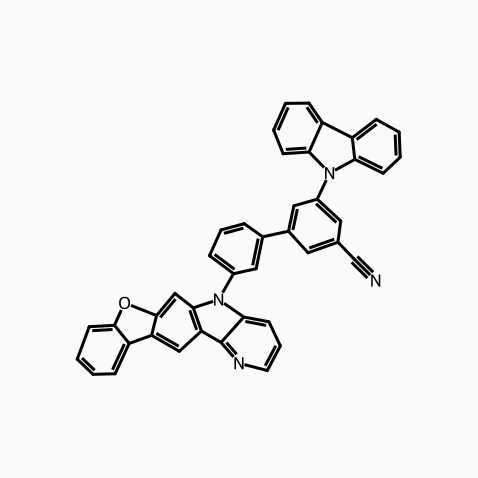 N#Cc1cc(-c2cccc(-n3c4cc5oc6ccccc6c5cc4c4ncccc43)c2)cc(-n2c3ccccc3c3ccccc32)c1